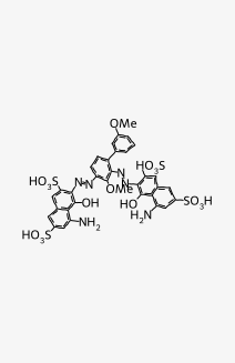 COc1cccc(-c2ccc(N=Nc3c(S(=O)(=O)O)cc4cc(S(=O)(=O)O)cc(N)c4c3O)c(OC)c2N=Nc2c(S(=O)(=O)O)cc3cc(S(=O)(=O)O)cc(N)c3c2O)c1